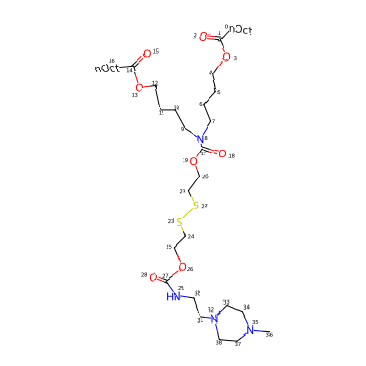 CCCCCCCCC(=O)OCCCCN(CCCCOC(=O)CCCCCCCC)C(=O)OCCSSCCOC(=O)NCCN1CCN(C)CC1